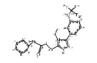 CCn1c(SCC(=O)Nc2ccccc2)nnc1-c1ccnc(OC(F)(F)F)c1